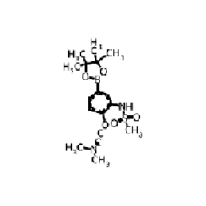 CN(C)CCOc1ccc(B2OC(C)(C)C(C)(C)O2)cc1NS(C)(=O)=O